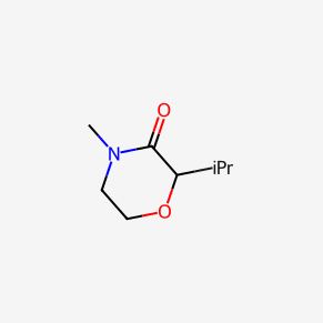 CC(C)C1OCCN(C)C1=O